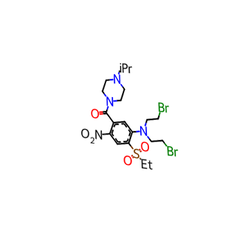 CCS(=O)(=O)c1cc([N+](=O)[O-])c(C(=O)N2CCN(C(C)C)CC2)cc1N(CCBr)CCBr